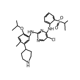 Cc1cc(OC(C)C)c(Nc2ncc(Cl)c(Nc3ccccc3S(=O)(=O)C(C)C)n2)cc1C1CCNCC1